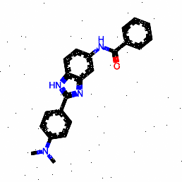 CN(C)c1ccc(-c2nc3cc(NC(=O)c4ccccc4)ccc3[nH]2)cc1